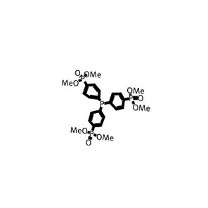 COP(=O)(OC)c1ccc(P(c2ccc(P(=O)(OC)OC)cc2)c2ccc(P(=O)(OC)OC)cc2)cc1